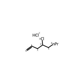 C=CCC(Cl)CCCC.Cl